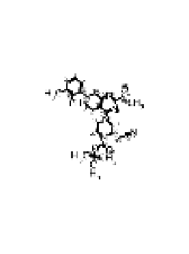 Cc1cccc(N2CCc3c(nc([S+](C)[O-])nc3N3CCN(C(=O)OC(C)(C)C)[C@@H](CC#N)C3)C2)c1C